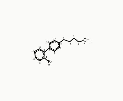 CCCCCc1ccc(-c2ccccc2Br)cc1